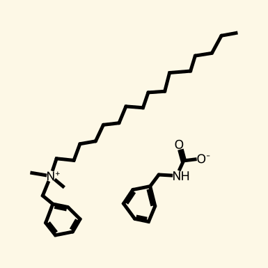 CCCCCCCCCCCCCCCC[N+](C)(C)Cc1ccccc1.O=C([O-])NCc1ccccc1